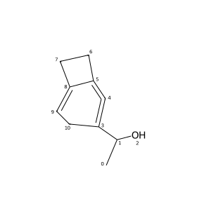 CC(O)C1=C=C2CCC2=CC1